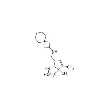 CC1=CC(CNC2CC3(CCCCC3)C2)[C@@H](NO)C1(C)C